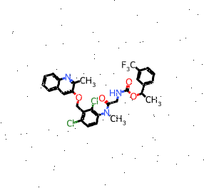 Cc1nc2ccccc2cc1OCc1c(Cl)ccc(N(C)C(=O)CNC(=O)OC(C)c2cccc(C(F)(F)F)c2)c1Cl